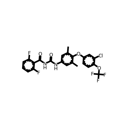 Cc1cc(NC(=O)NC(=O)c2c(F)cccc2F)cc(C)c1Oc1ccc(OC(F)(F)F)c(Cl)c1